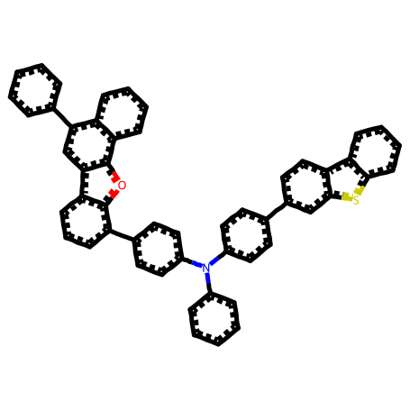 c1ccc(-c2cc3c4cccc(-c5ccc(N(c6ccccc6)c6ccc(-c7ccc8c(c7)sc7ccccc78)cc6)cc5)c4oc3c3ccccc23)cc1